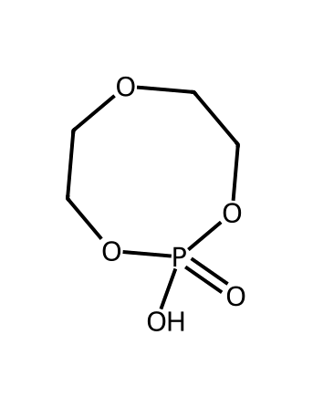 O=P1(O)OCCOCCO1